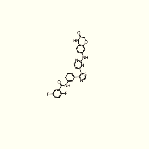 O=C1COc2cc(Nc3nccc(-c4scnc4C4=CCCC(NC(=O)c5cc(F)ccc5F)=C4)n3)ccc2N1